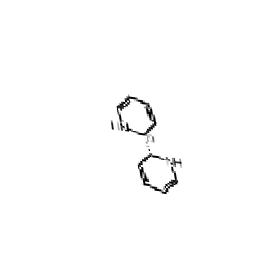 [C]1=CC([C@H]2C=CC=CN2)NC=C1